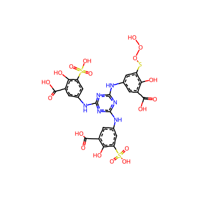 O=C(O)c1cc(Nc2nc(Nc3cc(C(=O)O)c(O)c(S(=O)(=O)O)c3)nc(Nc3cc(C(=O)O)c(O)c(S(=O)(=O)O)c3)n2)cc(SOOO)c1O